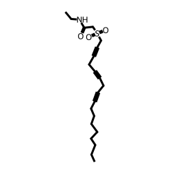 CCCCCCCCC#CCC#CCC#CCS(=O)(=O)CC(=O)NCC